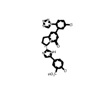 O=C(O)c1cc(-c2cnc([C@@H]3CCc4cc(-c5cc(Cl)ccc5-n5cnnn5)cc(=O)n43)[nH]2)ccc1Cl